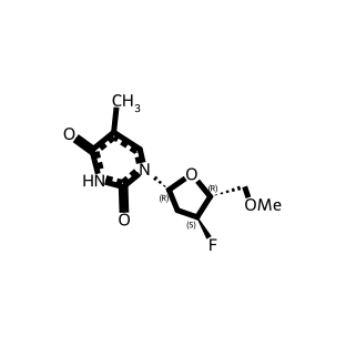 COC[C@H]1O[C@@H](n2cc(C)c(=O)[nH]c2=O)C[C@@H]1F